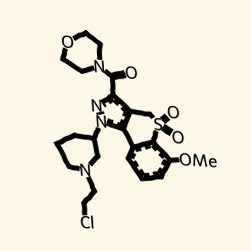 COc1cccc2c1S(=O)(=O)Cc1c(C(=O)N3CCOCC3)nn(C3CCCN(CCCl)C3)c1-2